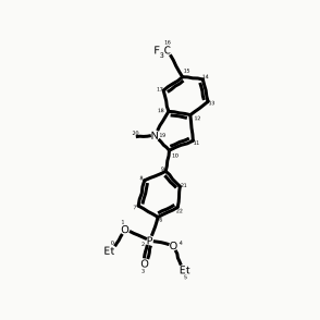 CCOP(=O)(OCC)c1ccc(-c2cc3ccc(C(F)(F)F)cc3n2C)cc1